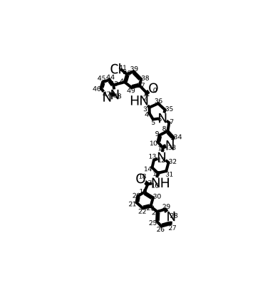 O=C(NC1CCN(Cc2ccc(N3CCC(NC(=O)c4cccc(-c5cccnc5)c4)CC3)nc2)CC1)c1ccc(Cl)c(-c2cccnn2)c1